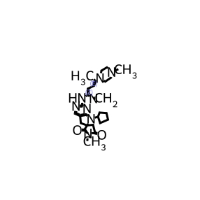 C=N/C(=C\C=C(/C)N1CCN(C)CC1)Nc1ncc2c(n1)N(C1CCCC1)C1(CC(=O)N(C)C1=O)C2